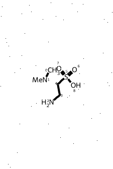 CNC.NCCS(=O)(=O)O